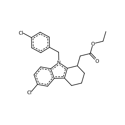 CCOC(=O)CC1CCCc2c1n(Cc1ccc(Cl)cc1)c1ccc(Cl)cc21